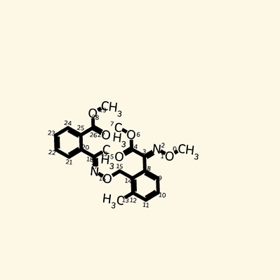 CO/N=C(/C(=O)OC)c1cccc(C)c1CO/N=C(\C)c1ccccc1C(=O)OC